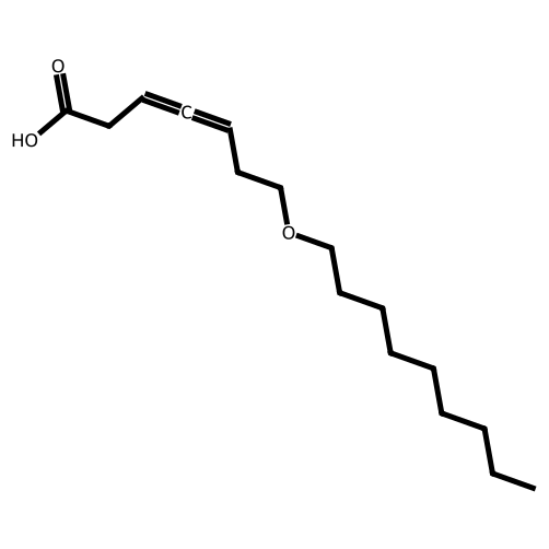 CCCCCCCCCOCCC=C=CCC(=O)O